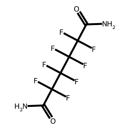 NC(=O)C(F)(F)C(F)(F)C(F)(F)C(F)(F)C(N)=O